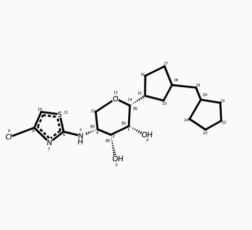 O[C@@H]1[C@H](O)[C@H](Nc2nc(Cl)cs2)CO[C@@H]1C1CCC(CC2CCCC2)C1